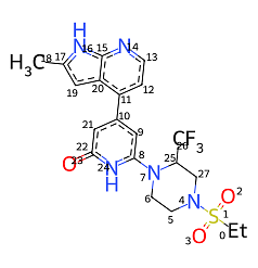 CCS(=O)(=O)N1CCN(c2cc(-c3ccnc4[nH]c(C)cc34)cc(=O)[nH]2)C(C(F)(F)F)C1